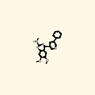 CNc1nc(-c2cncc(-c3ccccc3)c2)c2cc(OC)c(OC)cc2n1